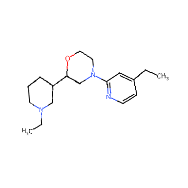 CCc1ccnc(N2CCOC(C3CCCN(CC)C3)C2)c1